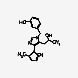 CC1=CC=[SH]C1c1ncn(Cc2cccc(O)c2)c1CC(C)O